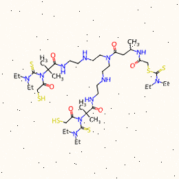 CCN(CC)C(=S)SCC(=O)NC(C)CC(=O)N(CCNCCNC(=O)C(C)(C)N(C(=O)CS)C(=S)N(CC)CC)CCNCCNC(=O)C(C)(C)N(C(=O)CS)C(=S)N(CC)CC